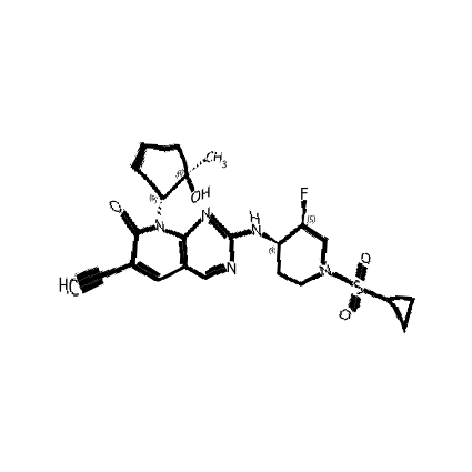 C#Cc1cc2cnc(N[C@@H]3CCN(S(=O)(=O)C4CC4)C[C@@H]3F)nc2n([C@@H]2CCC[C@@]2(C)O)c1=O